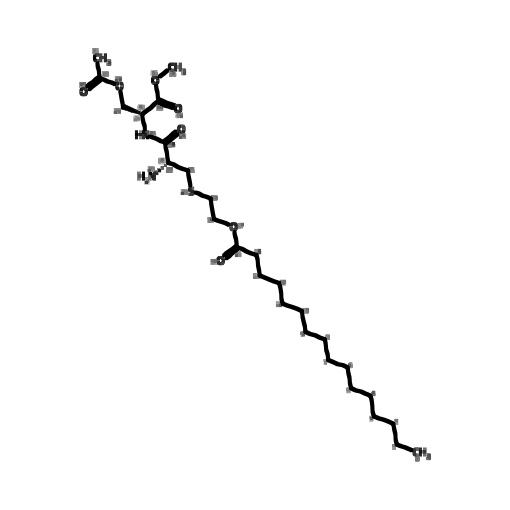 CCCCCCCCCCCCCCCC(=O)OCCSC[C@H](N)C(=O)N[C@@H](COC(C)=O)C(=O)OC